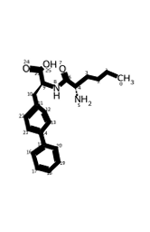 CCCC[C@H](N)C(=O)N[C@@H](Cc1ccc(-c2ccccc2)cc1)C(=O)O